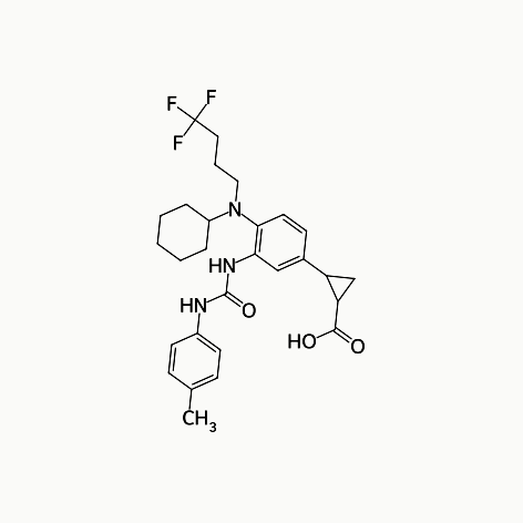 Cc1ccc(NC(=O)Nc2cc(C3CC3C(=O)O)ccc2N(CCCC(F)(F)F)C2CCCCC2)cc1